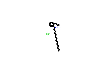 CCCCCCCCCCCCCC(N)c1ccccc1CCC.Cl